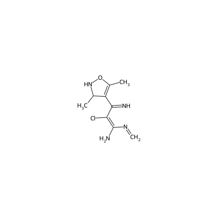 C=N/C(N)=C(/Cl)C(=N)C1=C(C)ONC1C